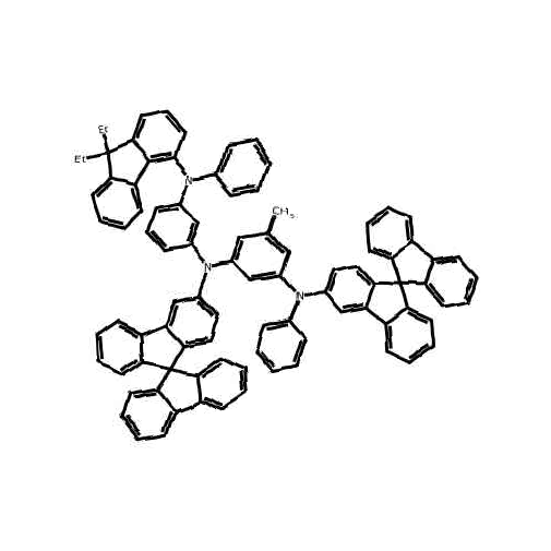 CCC1(CC)c2ccccc2-c2c(N(c3ccccc3)c3cccc(N(c4cc(C)cc(N(c5ccccc5)c5ccc6c(c5)-c5ccccc5C65c6ccccc6-c6ccccc65)c4)c4ccc5c(c4)-c4ccccc4C54c5ccccc5-c5ccccc54)c3)cccc21